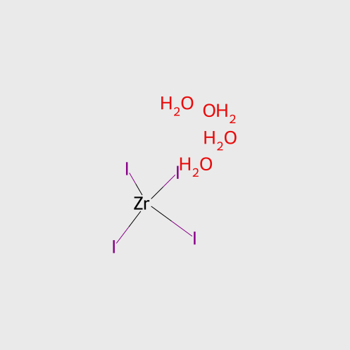 O.O.O.O.[I][Zr]([I])([I])[I]